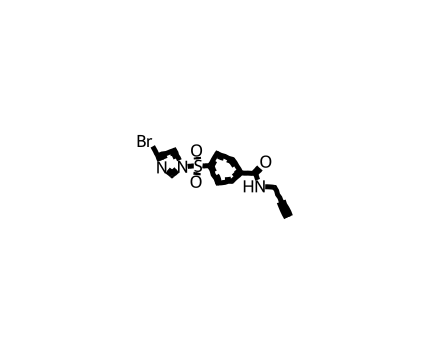 C#CCNC(=O)c1ccc(S(=O)(=O)n2cnc(Br)c2)cc1